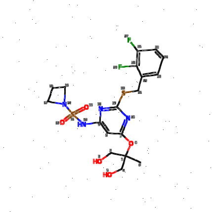 CC(CO)(CO)Oc1cc(NS(=O)(=O)N2CCC2)nc(SCc2cccc(F)c2F)n1